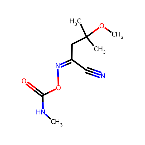 CNC(=O)ON=C(C#N)CC(C)(C)OC